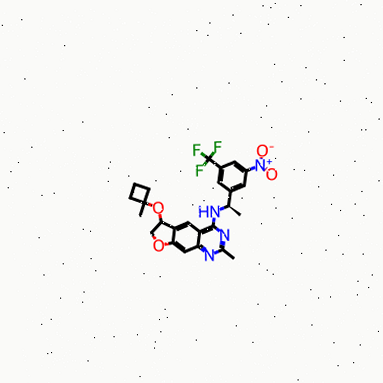 Cc1nc(N[C@H](C)c2cc([N+](=O)[O-])cc(C(F)(F)F)c2)c2cc3c(cc2n1)OCC3OC1(C)CCC1